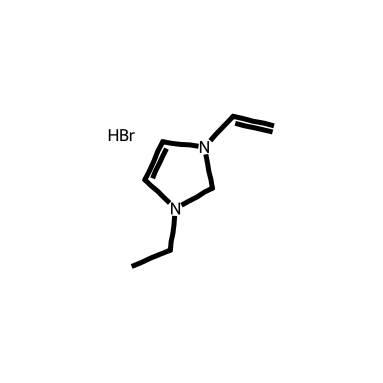 Br.C=CN1C=CN(CC)C1